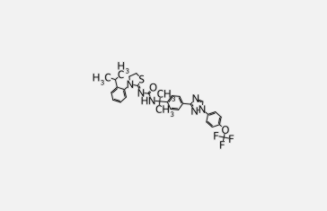 CC(C)c1ccccc1N1CCS/C1=N\C(=O)NC(C)(C)c1ccc(-c2ncn(-c3ccc(OC(F)(F)F)cc3)n2)cc1